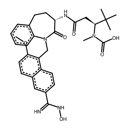 COc1ccc2cc(C(=N)NO)ccc2c1CN1C(=O)[C@@H](NC(=O)C[C@H](N(C)C(=O)O)C(C)(C)C)CCc2ccccc21